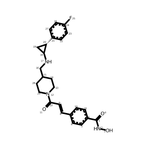 O=C(NO)c1ccc(/C=C/C(=O)N2CCC(CNC3C[C@@H]3c3ccc(F)cc3)CC2)cc1